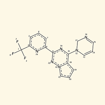 FC(F)(F)c1cccc(-c2nc(N3C=CC=NC3)c3cccn3n2)n1